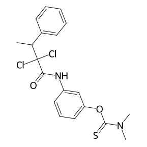 CC(c1ccccc1)C(Cl)(Cl)C(=O)Nc1cccc(OC(=S)N(C)C)c1